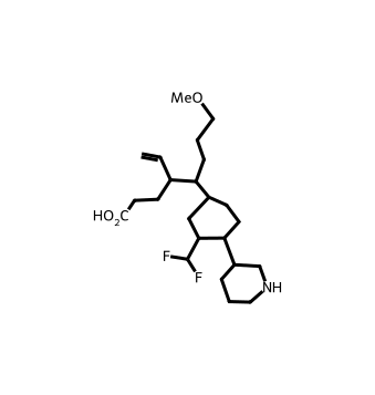 C=CC(CCC(=O)O)C(CCCOC)C1CCC(C2CCCNC2)C(C(F)F)C1